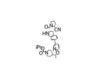 CC(C)OC(=O)N1CCC(C(C)Oc2ccc(-c3ccc4c(c3)CN[C@H](C(=O)N3CCC[C@H]3C#N)C4)cn2)CC1